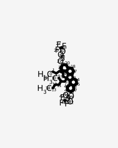 CCCCCCC1(CC(CC)CCCC)c2c(ccc3cc(OSOOC(F)(F)F)ccc23)-c2ccc3cc(OS(=O)(=O)C(F)(F)F)ccc3c21